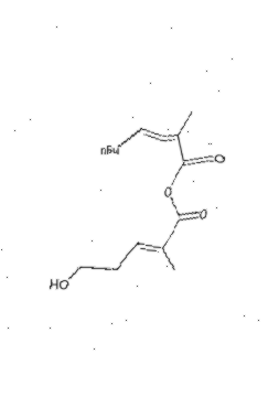 CCCCC=C(C)C(=O)OC(=O)C(C)=CCCO